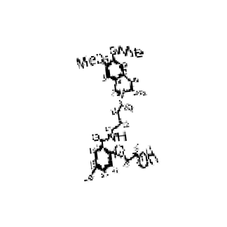 COc1cc2c(cc1OC)CN(CCCCNC(=O)c1cc(C)ccc1OCCO)CC2